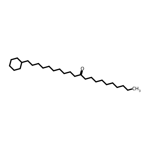 CCCCCCCCCCC(=O)CCCCCCCCCCC1CCCCC1